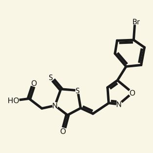 O=C(O)CN1C(=O)C(=Cc2cc(-c3ccc(Br)cc3)on2)SC1=S